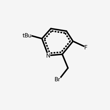 CC(C)(C)c1ccc(F)c(CBr)n1